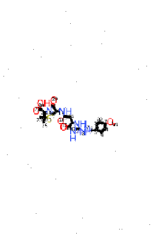 COc1ccc(/C=N/N=C2/NC(=O)C(CC(=O)NC3C(=O)N4C3SC(C)(C)C4C(=O)O)N2)cc1